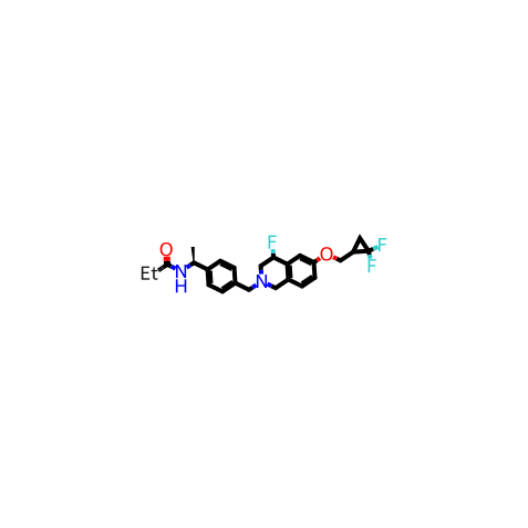 CCC(=O)N[C@@H](C)c1ccc(CN2Cc3ccc(OCC4CC4(F)F)cc3C(F)C2)cc1